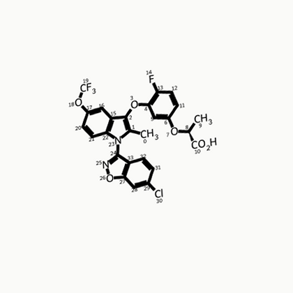 Cc1c(Oc2cc(O[C@@H](C)C(=O)O)ccc2F)c2cc(OC(F)(F)F)ccc2n1-c1noc2cc(Cl)ccc12